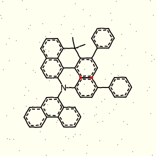 CC1(C)c2c(-c3ccccc3)cccc2-c2c(N(c3ccc(-c4ccccc4)cc3)c3cc4ccccc4c4ccccc34)ccc3cccc1c23